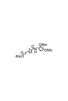 COC(=O)/C=C/c1ccc(C(=O)NCc2ccc(OC)cc2OC)s1